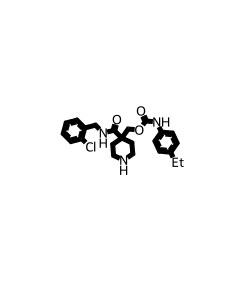 CCc1ccc(NC(=O)OCC2(C(=O)NCc3ccccc3Cl)CCNCC2)cc1